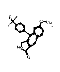 COc1ccc2cc3c(c(-c4ccc(C(F)(F)F)cc4)c2c1)CNC3=O